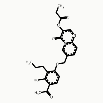 CCCc1c(OCc2ccc3ncc(OC(=O)CC)c(=O)n3c2)ccc(C(C)=O)c1O